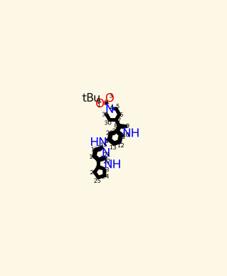 CC(C)(C)OC(=O)N1CCC(c2c[nH]c3ccc(Nc4ccc5c(n4)NC4CCCC54)cc23)CC1